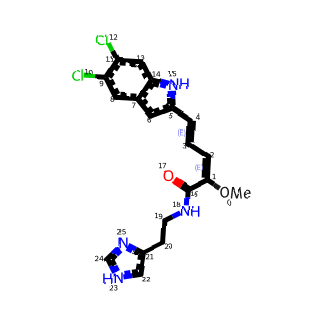 CO/C(=C/C=C/c1cc2cc(Cl)c(Cl)cc2[nH]1)C(=O)NCCc1c[nH]cn1